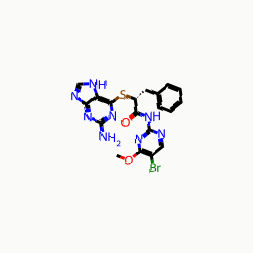 COc1nc(NC(=O)[C@@H](Cc2ccccc2)Sc2nc(N)nc3nc[nH]c23)ncc1Br